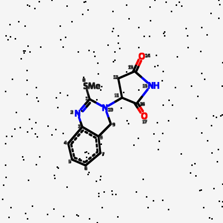 CSC1=Nc2ccccc2CN1C1CC(=O)NC1=O